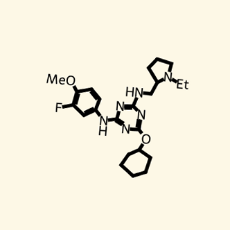 CCN1CCCC1CNc1nc(Nc2ccc(OC)c(F)c2)nc(OC2CCCCC2)n1